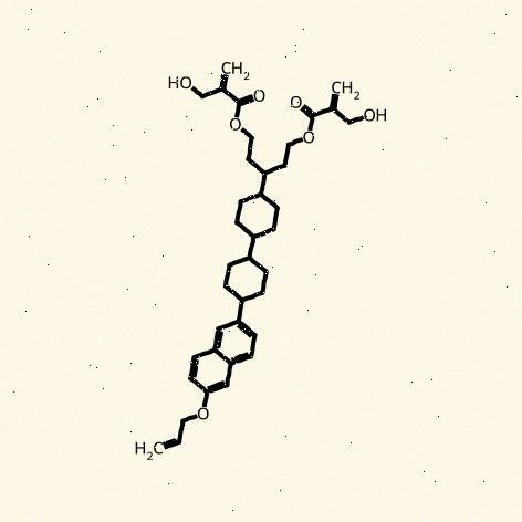 C=CCOc1ccc2cc(C3CCC(C4CCC(C(CCOC(=O)C(=C)CO)CCOC(=O)C(=C)CO)CC4)CC3)ccc2c1